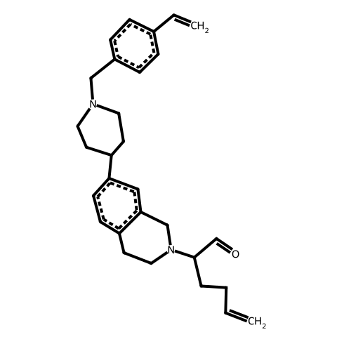 C=CCCC(C=O)N1CCc2ccc(C3CCN(Cc4ccc(C=C)cc4)CC3)cc2C1